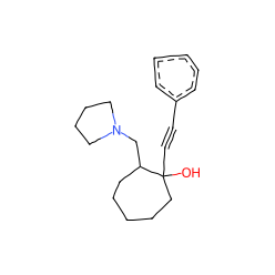 OC1(C#Cc2ccccc2)CCCCCC1CN1CCCC1